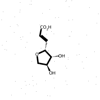 O=C(O)C=C[C@H]1OC[C@H](O)[C@H]1O